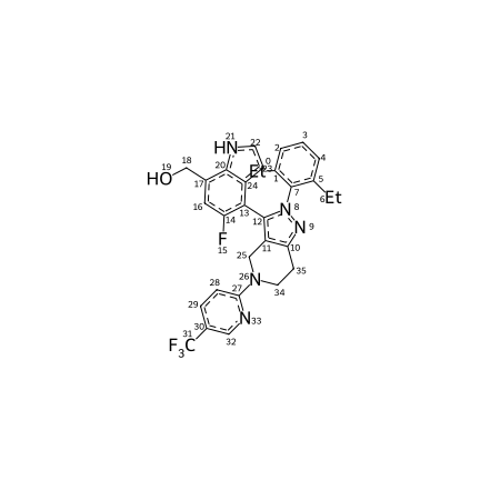 CCc1cccc(CC)c1-n1nc2c(c1-c1c(F)cc(CO)c3[nH]ccc13)CN(c1ccc(C(F)(F)F)cn1)CC2